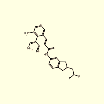 N=C/C(=C\N)c1c(P)cncc1/C=C/C(=O)Nc1ccc2c(c1)CN(CC(F)F)C2